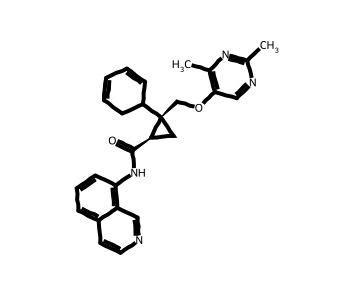 Cc1ncc(OC[C@@]2(C3C=CC=CC3)C[C@H]2C(=O)Nc2cccc3ccncc23)c(C)n1